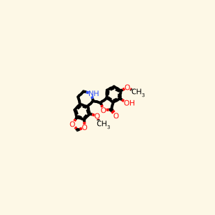 COc1ccc2c(c1O)C(=O)OC2C1NCCc2cc3c(c(OC)c21)OCO3